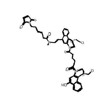 CN(C[CH]c1cc2c(c3ccccc13)[C@H](CCl)CN2C(=O)CCCC(=O)N1C[C@@H](CCl)c2c1cc(O)c1ccccc21)C(=O)CCCCCN1C(=O)C=CC1=O